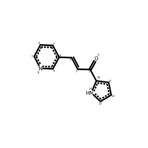 O=C(C=Cc1cccnc1)c1ccc[nH]1